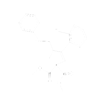 COC(=O)C1(C(=O)OC)C=C(c2ccccc2F)C(C[Se]c2ccccc2)C1